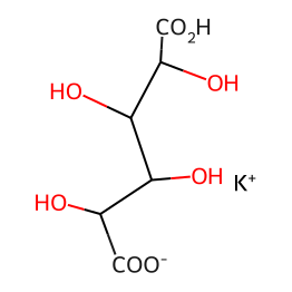 O=C([O-])C(O)C(O)C(O)C(O)C(=O)O.[K+]